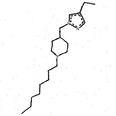 CCCCCCCCN1CCC(Cn2cc(CC)cn2)CC1